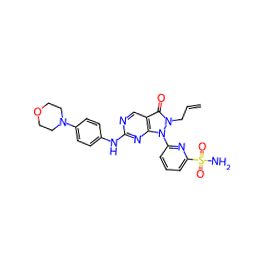 C=CCn1c(=O)c2cnc(Nc3ccc(N4CCOCC4)cc3)nc2n1-c1cccc(S(N)(=O)=O)n1